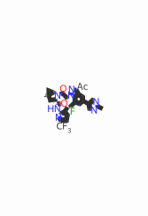 CC(=O)c1nn(CC(=O)N2C3C[C@]3(C)C[C@H]2C(=O)Nc2nc(C(F)(F)F)ccc2C)c2c(CF)cc(-c3cnc(C)nc3)cc12